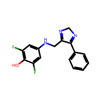 Oc1c(F)cc(NCC2=NCN=C2c2ccccc2)cc1F